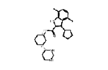 Cc1ccc(F)c2c1NC(C(=O)N[C@@H]1CCC[C@@H](C3CCNCN3)C1)C2C1CCCC1